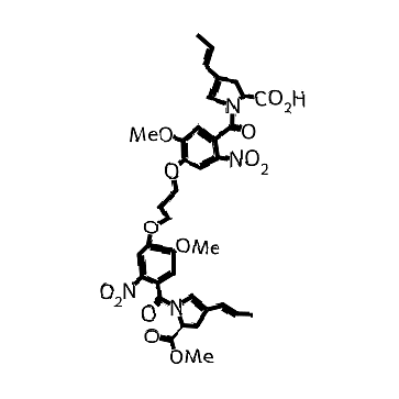 C/C=C/C1=CN(C(=O)c2cc(OC)c(OCCCOc3cc([N+](=O)[O-])c(C(=O)N4C=C(/C=C/C)C[C@H]4C(=O)OC)cc3OC)cc2[N+](=O)[O-])C(C(=O)O)C1